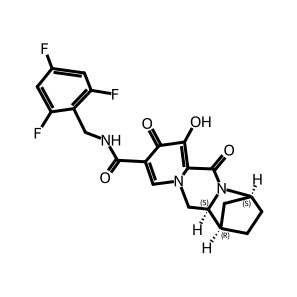 O=C(NCc1c(F)cc(F)cc1F)c1cn2c(c(O)c1=O)C(=O)N1[C@H]3CC[C@H](C3)[C@H]1C2